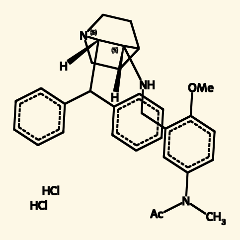 COc1ccc(N(C)C(C)=O)cc1CN[C@H]1C2CCN(CC2)[C@H]1C(c1ccccc1)c1ccccc1.Cl.Cl